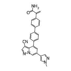 C=C(C(N)=O)c1ccc(-c2ccc(-c3cc(-c4cnn(C)c4)cn4ncc(C#N)c34)cc2)cc1